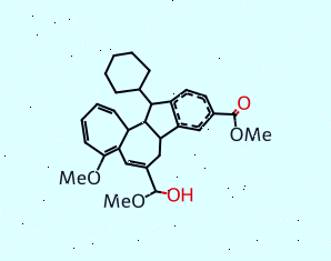 COC(=O)c1ccc2c(c1)C1CC(C(O)OC)=CC3=C(OC)C=CC=CC3C1C2C1CCCCC1